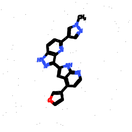 Cn1cc(-c2ccc3[nH]nc(-c4cc5c(-c6ccoc6)ccnc5[nH]4)c3n2)cn1